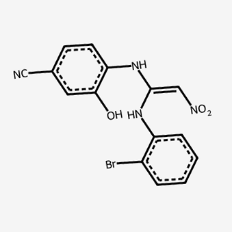 N#Cc1ccc(N/C(=C/[N+](=O)[O-])Nc2ccccc2Br)c(O)c1